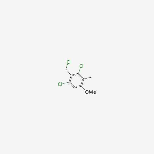 COc1cc(Cl)c(CCl)c(Cl)c1C